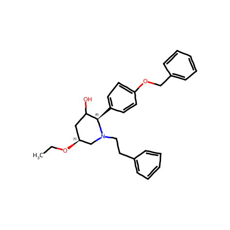 CCO[C@H]1CC(O)[C@@H](c2ccc(OCc3ccccc3)cc2)N(CCc2ccccc2)C1